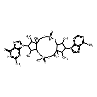 CC1C(n2cnc3c(N)ncnc32)C(O)C2O[PH](=O)OCC3(C)C(C)C(n4cnc5c(=O)[nH]c(N)nc54)C(O)C3OP(=O)(O)OCC12C